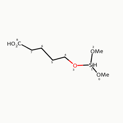 CO[SiH](OC)OCCCCC(=O)O